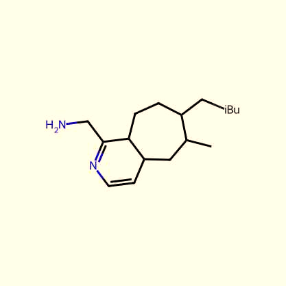 CCC(C)CC1CCC2C(CN)=NC=CC2CC1C